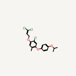 Cc1cc(OCC=C(Cl)Cl)c(Cl)cc1Oc1ccc(OC(C)C)cc1